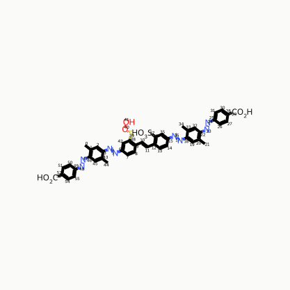 Cc1cc(N=Nc2ccc(C=Cc3ccc(N=Nc4cc(C)c(N=Nc5ccc(C(=O)O)cc5)cc4C)cc3S(=O)(=O)O)c(SOO)c2)c(C)cc1N=Nc1ccc(C(=O)O)cc1